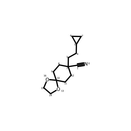 N#CC1(CCC2CC2)CCC2(CC1)OCCO2